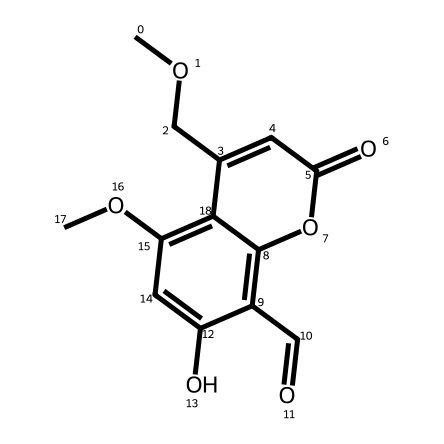 COCc1cc(=O)oc2c(C=O)c(O)cc(OC)c12